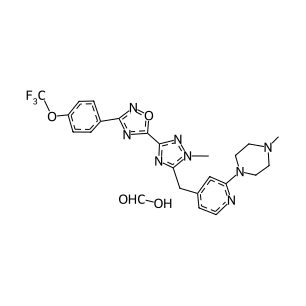 CN1CCN(c2cc(Cc3nc(-c4nc(-c5ccc(OC(F)(F)F)cc5)no4)nn3C)ccn2)CC1.O=CO